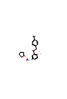 COC(=O)c1ccc(CC(=O)c2cc(NC(=O)OC3CCCC3)ccc2N(C)C=O)c(OC)c1